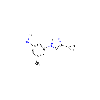 CC(C)(C)Nc1cc(-n2cnc(C3CC3)c2)cc(C(F)(F)F)c1